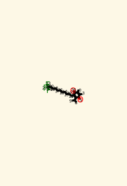 CC1=C(C)C(=O)C(C(C)C)=C(CCCCCCCCCCC(F)(F)F)C1=O